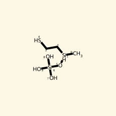 C[SiH](CCS)O[Si](O)(O)O